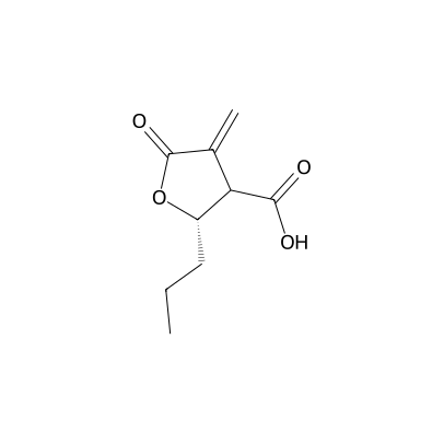 C=C1C(=O)O[C@@H](CCC)C1C(=O)O